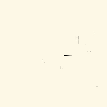 O=C1N[C@H](c2cc(C#Cc3ccccc3)ncn2)[C@@H](c2cccc(F)c2)O1